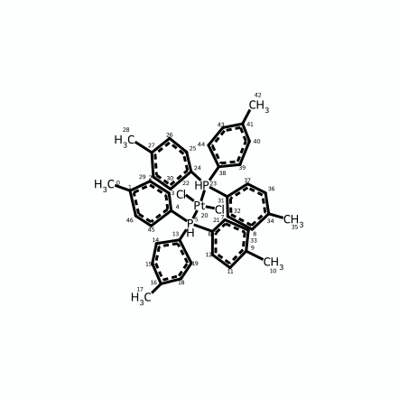 Cc1ccc([PH](c2ccc(C)cc2)(c2ccc(C)cc2)[Pt]([Cl])([Cl])[PH](c2ccc(C)cc2)(c2ccc(C)cc2)c2ccc(C)cc2)cc1